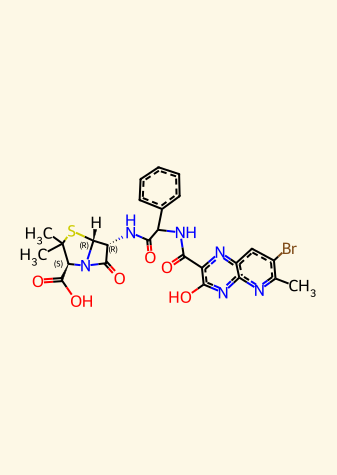 Cc1nc2nc(O)c(C(=O)NC(C(=O)N[C@@H]3C(=O)N4[C@@H]3SC(C)(C)[C@@H]4C(=O)O)c3ccccc3)nc2cc1Br